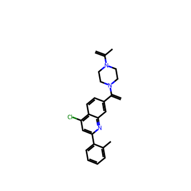 C=C(C)N1CCN(C(=C)c2ccc3c(Cl)cc(-c4ccccc4C)nc3c2)CC1